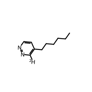 [2H]c1nnccc1CCCCCC